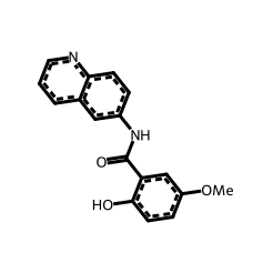 COc1ccc(O)c(C(=O)Nc2ccc3ncccc3c2)c1